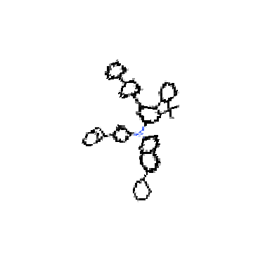 CC1(C)c2ccccc2-c2c(-c3ccc(-c4ccccc4)cc3)cc(N(c3ccc(C4CC5CCC4C5)cc3)c3ccc4ccc(C5CCCCC5)cc4c3)cc21